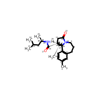 Cc1ccc2c(c1)CCCN1C(=O)C[C@H]3[C@H](C(=O)N[C@H](C)CC(C)C)[C@@H](C)CC231